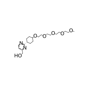 COCCOCCOCCOCCO[C@H]1CC[C@H](c2nccc(CO)n2)CC1